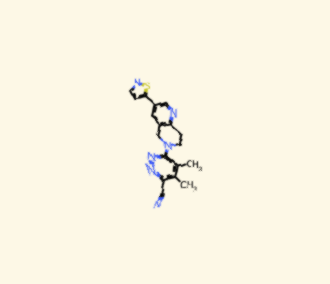 Cc1c(C#N)nnc(N2CCc3ncc(-c4ccns4)cc3C2)c1C